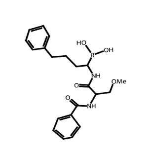 COCC(NC(=O)c1ccccc1)C(=O)NC(CCCc1ccccc1)B(O)O